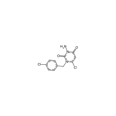 Nn1c(=O)cc(Cl)n(Cc2ccc(Cl)cc2)c1=O